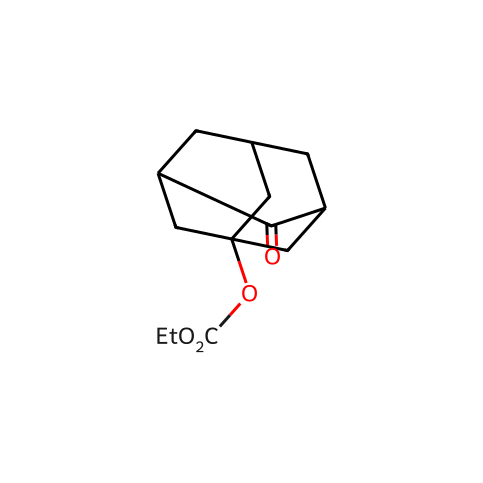 CCOC(=O)OC12CC3CC(C1)C(=O)C(C3)C2